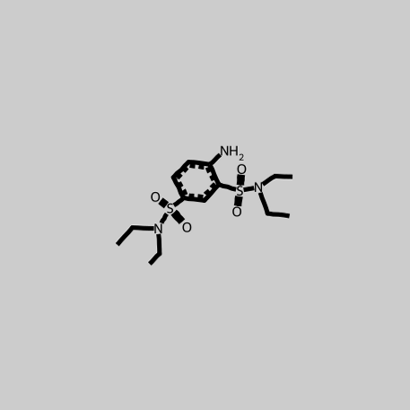 CCN(CC)S(=O)(=O)c1ccc(N)c(S(=O)(=O)N(CC)CC)c1